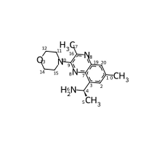 Cc1cc([C@@H](C)N)c2nc(N3CCOCC3)c(C)nc2c1